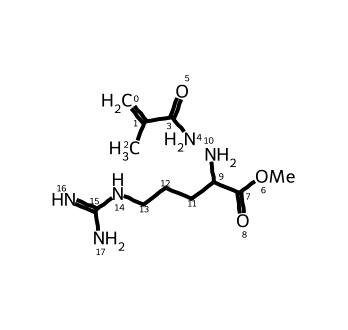 C=C(C)C(N)=O.COC(=O)C(N)CCCNC(=N)N